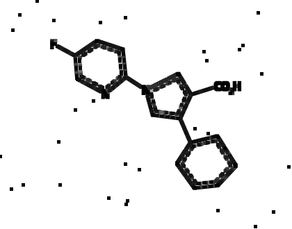 O=C(O)c1cn(-c2ccc(F)cn2)cc1-c1ccccc1